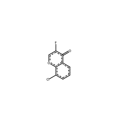 O=c1c(F)coc2c(Cl)cccc12